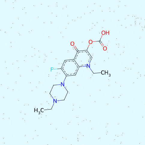 CCN1CCN(c2cc3c(cc2F)c(=O)c(OC(=O)O)cn3CC)CC1